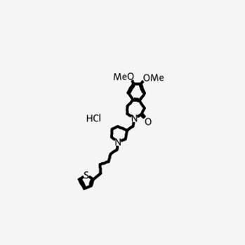 COc1cc2c(cc1OC)CC(=O)N(CC1CCCN(CCCCCc3cccs3)C1)CC2.Cl